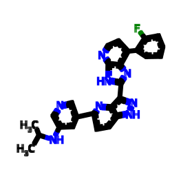 CC(C)Nc1cncc(-c2ccc3[nH]nc(-c4nc5c(-c6ccccc6F)ccnc5[nH]4)c3n2)c1